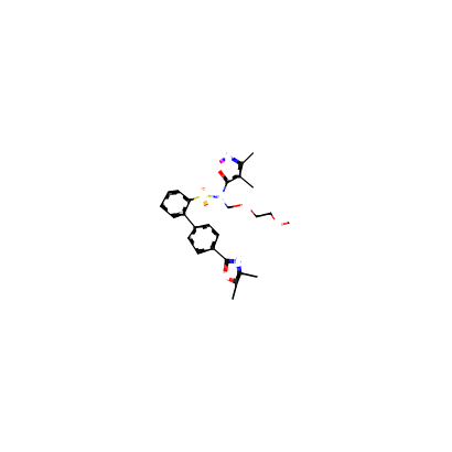 COCCOCN(c1onc(C)c1C)S(=O)(=O)c1ccccc1-c1ccc(-c2nc(C)c(C)o2)cc1